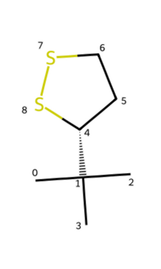 CC(C)(C)[C@H]1CCSS1